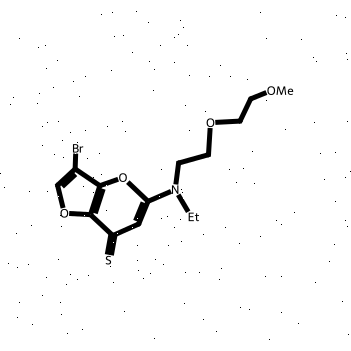 CCN(CCOCCOC)c1cc(=S)c2occ(Br)c2o1